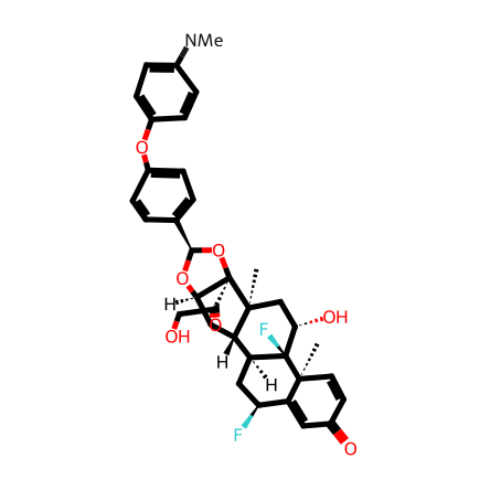 CNc1ccc(Oc2ccc([C@@H]3O[C@@H]4C[C@H]5[C@@H]6C[C@H](F)C7=CC(=O)C=C[C@]7(C)[C@@]6(F)[C@@H](O)C[C@]5(C)[C@]4(C(=O)CO)O3)cc2)cc1